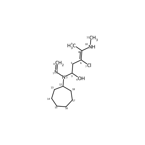 C=NN(C(O)C/C(Cl)=C(\C)NC)C1CCCCCC1